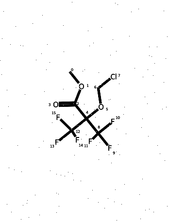 COC(=O)C(OCCl)(C(F)(F)F)C(F)(F)F